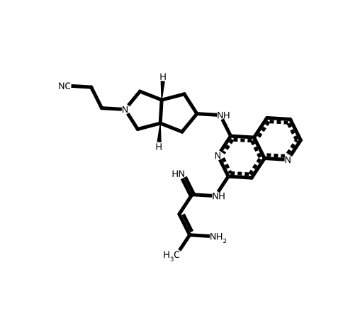 C/C(N)=C/C(=N)Nc1cc2ncccc2c(NC2C[C@@H]3CN(CCC#N)C[C@@H]3C2)n1